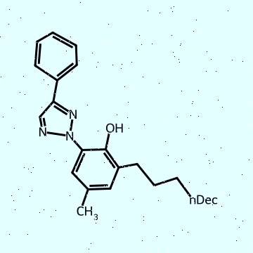 CCCCCCCCCCCCCc1cc(C)cc(-n2ncc(-c3ccccc3)n2)c1O